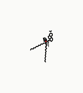 CCCCCCCCCCCCCCOC1CC2CCC(C1)N2C(CCCCCCCCCCCCC)NC[C@]1(C)CCC[C@]2(C)C3CC[C@H](C(C)C)CC3CCC12